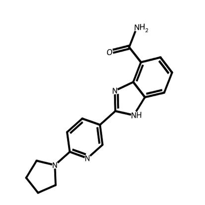 NC(=O)c1cccc2[nH]c(-c3ccc(N4CCCC4)nc3)nc12